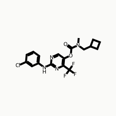 CN(CC1CCC1)C(=O)Oc1cnc(Nc2cccc(Cl)c2)nc1C(F)(F)F